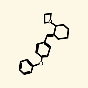 C(=C1CCCCC1N1CCC1)c1ccc(Oc2ccccc2)cc1